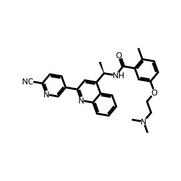 Cc1ccc(OCCN(C)C)cc1C(=O)N[C@H](C)c1cc(-c2ccc(C#N)nc2)nc2ccccc12